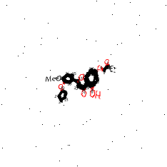 CCC(=O)COc1cc(O)c2c(=O)cc(-c3ccc(OC)c(OC4CCCC4)c3)oc2c1